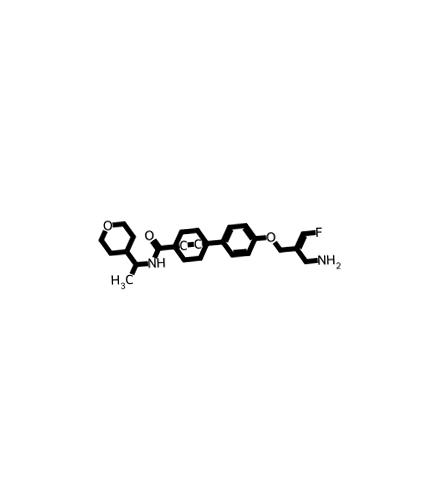 CC(NC(=O)C12CCC(c3ccc(OCC(=CF)CN)cc3)(CC1)CC2)C1CCOCC1